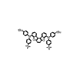 CC(C)(C)c1ccc(N(c2ccc([Si](C)(C)C)cc2)c2cccc3c2oc2ccc4oc5c(N(c6ccc(C(C)(C)C)cc6)c6ccc([Si](C)(C)C)cc6)cccc5c4c23)cc1